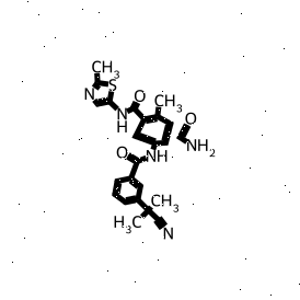 Cc1ncc(NC(=O)c2cc(NC(=O)c3cccc(C(C)(C)C#N)c3)ccc2C)s1.NC=O